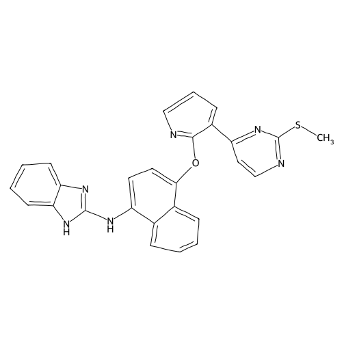 CSc1nccc(-c2cccnc2Oc2ccc(Nc3nc4ccccc4[nH]3)c3ccccc23)n1